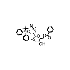 CS[C@H](OC(COC(=O)c1ccccc1)[C@@H](C)O)[C@@H](CO[Si](c1ccccc1)(c1ccccc1)C(C)(C)C)N=[N+]=[N-]